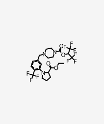 CCOC(=O)C1CCCN1c1cc(CN2CCN(C(=O)OC(C(F)(F)F)C(F)(F)F)CC2)ccc1C(F)(F)F